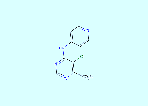 CCOC(=O)c1ncnc(Nc2ccncc2)c1Cl